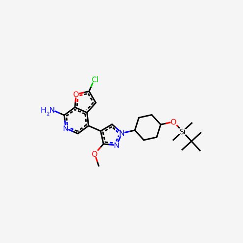 COc1nn(C2CCC(O[Si](C)(C)C(C)(C)C)CC2)cc1-c1cnc(N)c2oc(Cl)cc12